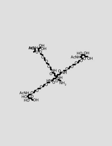 CC(=O)NC(C(O)O)C(OCCOCCOCCOCCNC(=O)CCC(CCC(=O)NCCOCCOCCOCCOC1OC(CO)C(O)C(O)C1NC(C)=O)(CCC(=O)NCCOCCOCCOCCOC1OC(CO)C(O)[C@H](O)C1NC(C)=O)NC(=O)CN)OC(C)CO